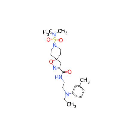 CCN(CCNC(=O)C1=NOC2(CCN(S(=O)(=O)N(C)C)CC2)C1)c1cccc(C)c1